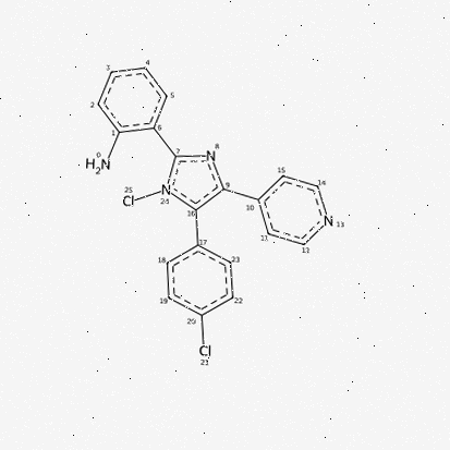 Nc1ccccc1-c1nc(-c2ccncc2)c(-c2ccc(Cl)cc2)n1Cl